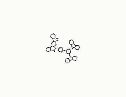 c1ccc2c(c1)nc(-c1ccc(-c3cc(-n4c5ccccc5c5ccccc54)cc(-n4c5ccccc5c5ccccc54)c3)cc1)c1cc3oc4ccccc4c3cc12